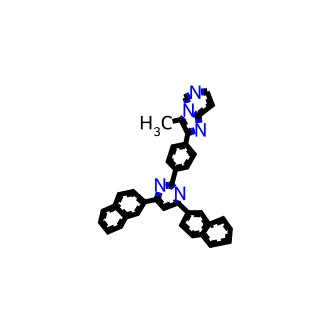 Cc1c(-c2ccc(-c3nc(-c4ccc5ccccc5c4)cc(-c4ccc5ccccc5c4)n3)cc2)nc2ccncn12